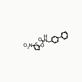 O=C(NCc1ccc(-c2ccccc2)cc1)Oc1ccc([N+](=O)[O-])s1